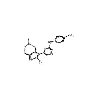 CCc1nc2c(n1-c1cncc(Nc3ccc(C(F)(F)F)cc3)n1)CN(C)CC2